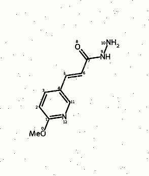 COc1ccc(C=CC(=O)NN)cn1